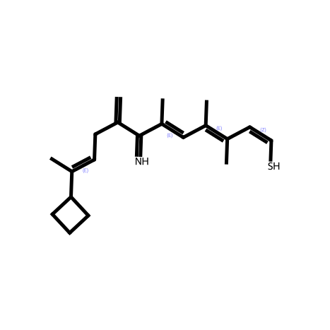 C=C(C/C=C(\C)C1CCC1)C(=N)/C(C)=C/C(C)=C(C)/C=C\S